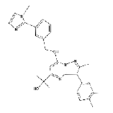 Cc1ccc(-c2c(C)nn3c(NCc4cccc(-c5nccn5C)c4)cc(C(C)(C)O)nc23)cc1C